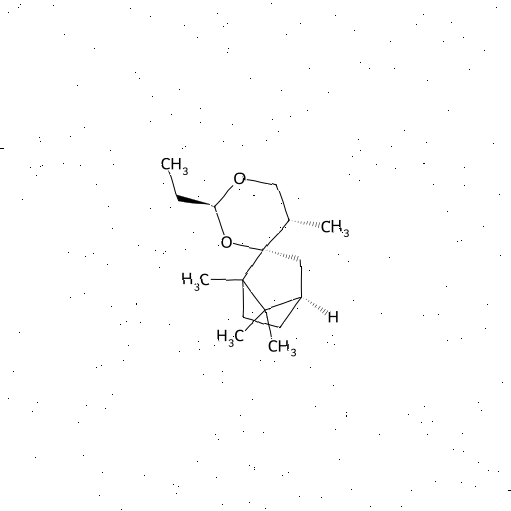 CC[C@H]1OC[C@H](C)[C@]2(C[C@H]3CCC2(C)C3(C)C)O1